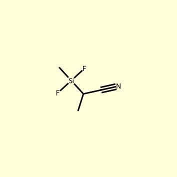 CC(C#N)[Si](C)(F)F